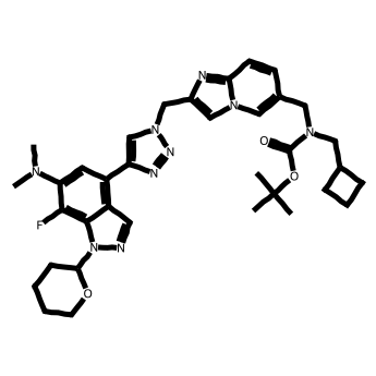 CN(C)c1cc(-c2cn(Cc3cn4cc(CN(CC5CCC5)C(=O)OC(C)(C)C)ccc4n3)nn2)c2cnn(C3CCCCO3)c2c1F